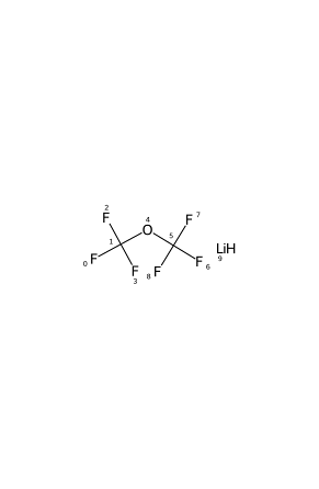 FC(F)(F)OC(F)(F)F.[LiH]